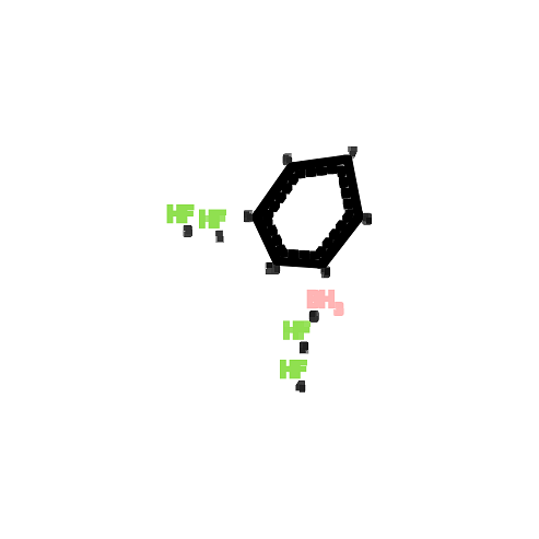 B.F.F.F.F.c1ccccc1